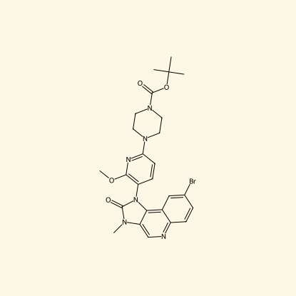 COc1nc(N2CCN(C(=O)OC(C)(C)C)CC2)ccc1-n1c(=O)n(C)c2cnc3ccc(Br)cc3c21